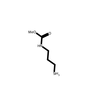 COC(=O)NCCC[SiH3]